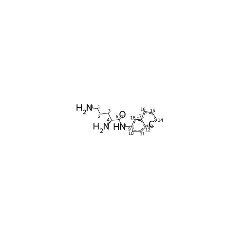 NCCC[C@H](N)C(=O)Nc1ccc2ccccc2c1